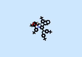 CC(C)(C)c1ccc(CC(c2ccc(C(C)(C)C)cc2)c2cc3c4c(c2)N(c2ccc(C(C)(C)C)cc2-c2ccccc2)c2c(sc5ccc(C(C)(C)C)cc25)B4c2cc(C(C)(C)C)cc4c2C3=CC2(C)CCCCC42C)cc1